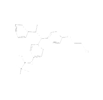 CC/C(=C(\c1ccc(OCCBr)cc1)c1ccc(OC(=O)C(C)(C)C)cc1)c1ccccc1